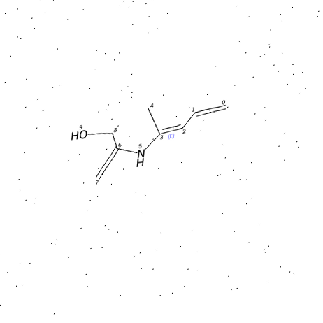 C=C/C=C(\C)NC(=C)CO